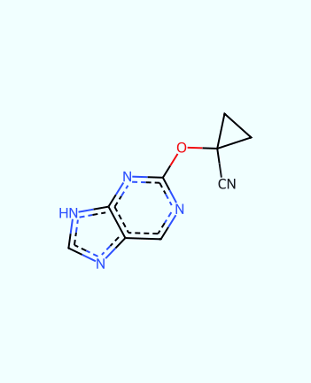 N#CC1(Oc2ncc3nc[nH]c3n2)CC1